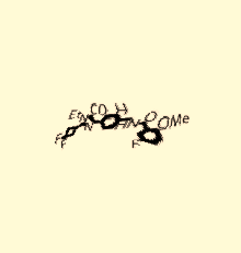 CCn1c(C2CC(F)(F)C2)nc(-c2ccc(CNC(=O)c3cc(F)ccc3OC)cc2)c1C(=O)O